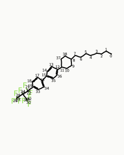 CCCCCCCCC1CCC(c2ccc(-c3ccc(C(F)(F)C(F)(C(F)(F)F)C(F)(F)F)cc3)cc2)CC1